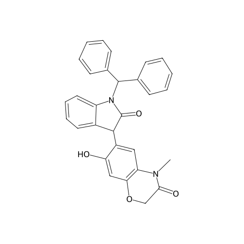 CN1C(=O)COc2cc(O)c(C3C(=O)N(C(c4ccccc4)c4ccccc4)c4ccccc43)cc21